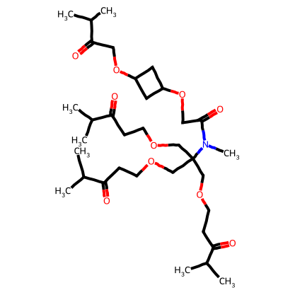 CC(C)C(=O)CCOCC(COCCC(=O)C(C)C)(COCCC(=O)C(C)C)N(C)C(=O)COC1CC(OCC(=O)C(C)C)C1